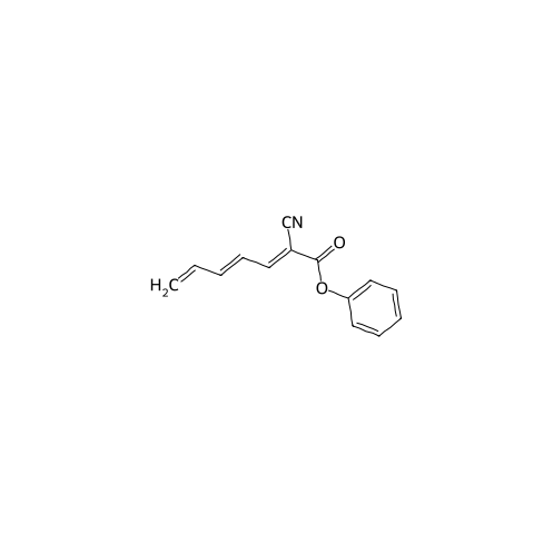 C=CC=CC=C(C#N)C(=O)Oc1ccccc1